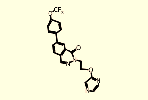 O=c1c2cc(-c3ccc(OC(F)(F)F)cc3)ccc2cnn1CCOc1cnccn1